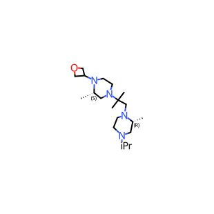 CC(C)N1CCN(CC(C)(C)N2CCN(C3COC3)[C@@H](C)C2)[C@H](C)C1